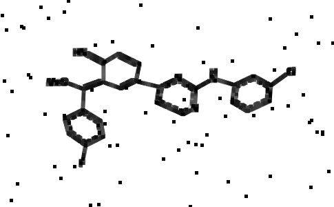 CO/C(=C1/C=C(c2ccnc(Nc3cccc(Cl)c3)n2)C=CC1=N)c1ccc(F)cc1